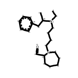 CCN(CCCCN1CCCCCC1C=O)C(C)Cc1ccccc1